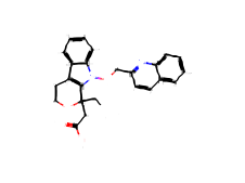 CCC1(CC(=O)O)OCCc2c1n(OCc1ccc3ccccc3n1)c1ccccc21